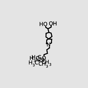 CC(C)(C)[Si](C)(C)OCCCCN1CCC2(CCC(C(CO)CO)CC2)CC1